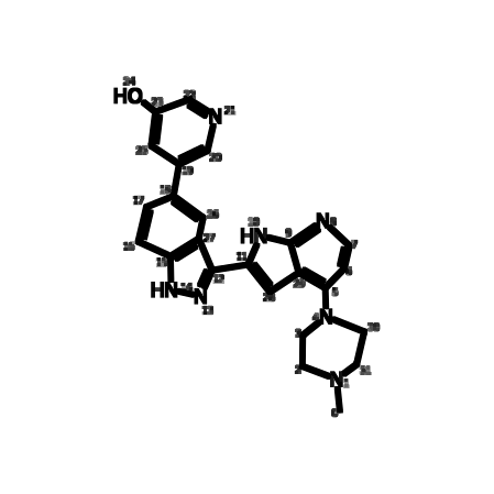 CN1CCN(c2ccnc3[nH]c(-c4n[nH]c5ccc(-c6cncc(O)c6)cc45)cc23)CC1